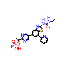 CCNC(=O)Nc1nc2cc(-c3cnc([C@H](C)OP(=O)(O)I)nc3)cc(-c3ccccn3)c2s1